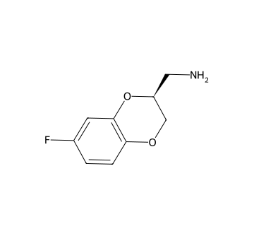 NC[C@H]1COc2ccc(F)cc2O1